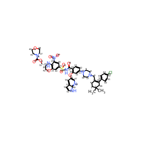 CC1(C)CCC(CN2CCN(c3ccc(C(=O)NS(=O)(=O)c4cc5c(c([N+](=O)[O-])c4)N[C@@H](COC(=O)N4CCOCC4)CO5)c(Oc4cnc5[nH]ccc5c4)c3)CC2)=C(c2ccc(Cl)cc2)C1